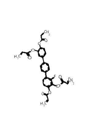 C=CC(=O)Oc1ccc(-c2ccc(-c3ccc(OC(=O)C=C)c(OC(=O)C=C)c3F)cc2)cc1OC(=O)C=C